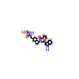 O=C(C=Cc1ccc2c(c1)CCC2N(CCc1c[nH]c2ccccc12)C(=O)c1ccco1)NO